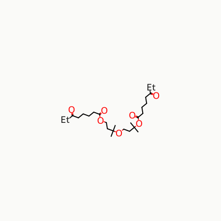 CCC(=O)CCCCC(=O)OCCC(C)(C)OCCC(C)(C)OC(=O)CCCCC(=O)CC